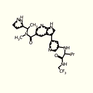 CC(C)C(Nc1cncc(-c2c[nH]c3ncc(C(=O)N(C)C(C)c4ccn[nH]4)cc23)c1)C(=O)NCC(F)(F)F